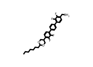 BCc1ccc(-c2ccc(-c3ccc(C4COC(CCCCCCC)OC4)c(F)c3F)cc2)c(F)c1F